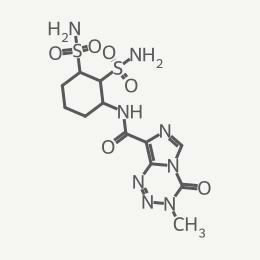 Cn1nnc2c(C(=O)NC3CCCC(S(N)(=O)=O)C3S(N)(=O)=O)ncn2c1=O